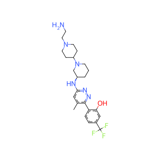 Cc1cc(N[C@@H]2CCCN(C3CCN(CCN)CC3)C2)nnc1-c1ccc(C(F)(F)F)cc1O